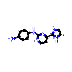 Nc1ccc(Nc2nccc(-c3ncc[nH]3)n2)cc1